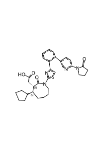 O=C(O)C[C@@H]1C(=O)N(c2nc(-c3ccccc3-c3ccc(N4CCCC4=O)nc3)cs2)CCCC[C@H]1C1CCCC1